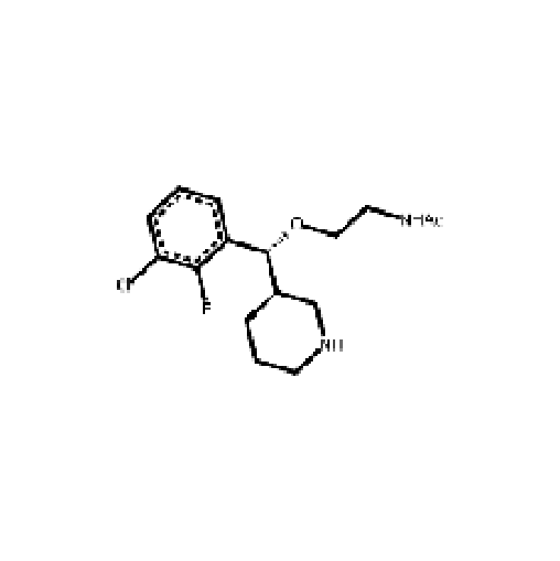 CC(=O)NCCO[C@@H](c1cccc(Cl)c1F)[C@@H]1CCCNC1